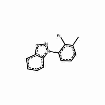 CCc1c(C)cccc1-n1nnc2ccccc21